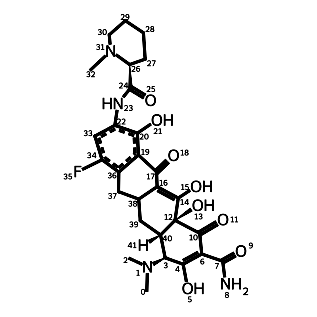 CN(C)[C@@H]1C(O)=C(C(N)=O)C(=O)[C@@]2(O)C(O)=C3C(=O)c4c(O)c(NC(=O)[C@@H]5CCCCN5C)cc(F)c4CC3C[C@@H]12